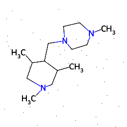 CC1CN(C)CC(C)C1CN1CCN(C)CC1